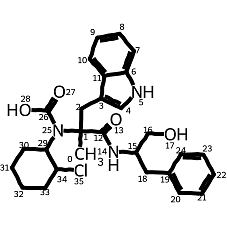 CC(Cc1c[nH]c2ccccc12)(C(=O)NC(CO)Cc1ccccc1)N(C(=O)O)C1CCCCC1Cl